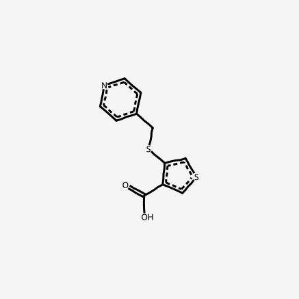 O=C(O)c1cscc1SCc1ccncc1